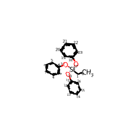 CC[Si](Oc1ccccc1)(Oc1ccccc1)Oc1ccccc1